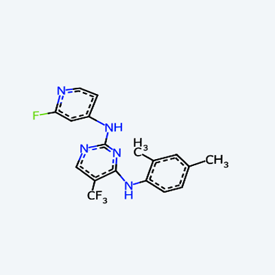 Cc1ccc(Nc2nc(Nc3ccnc(F)c3)ncc2C(F)(F)F)c(C)c1